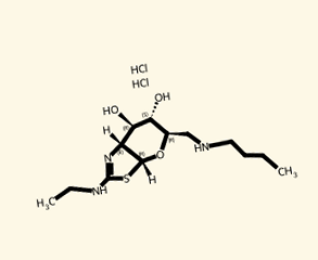 CCCCNC[C@H]1O[C@@H]2SC(NCC)=N[C@@H]2[C@@H](O)[C@@H]1O.Cl.Cl